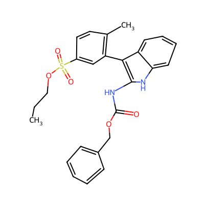 CCCOS(=O)(=O)c1ccc(C)c(-c2c(NC(=O)OCc3ccccc3)[nH]c3ccccc23)c1